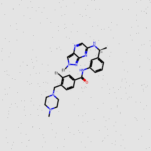 CCc1cc(C(=O)Nc2cccc([C@H](C)Nc3cnc4cn(CC)nc4n3)c2)ccc1CN1CCN(C)CC1